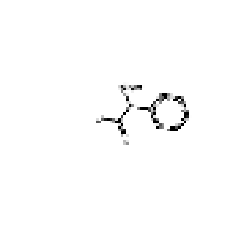 CNC(C([O])=O)c1ccccc1